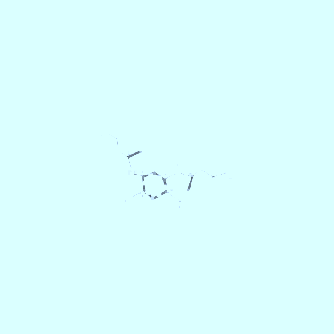 CCOC(=O)Nc1cc(OC(=O)OCC)c(Br)cc1F